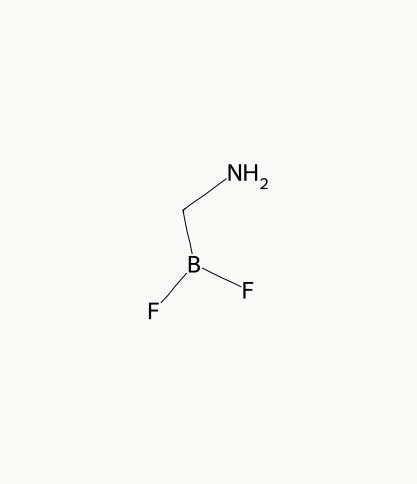 NCB(F)F